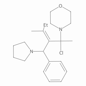 CC/C(C)=C(/C(c1ccccc1)N1CCCC1)C(C)(Cl)N1CCOCC1